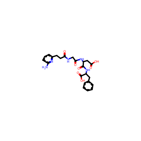 Nc1cccc(CCC(=O)NCC(=O)NC(CC(=O)O)C(=O)NC(Cc2ccccc2)C(=O)O)n1